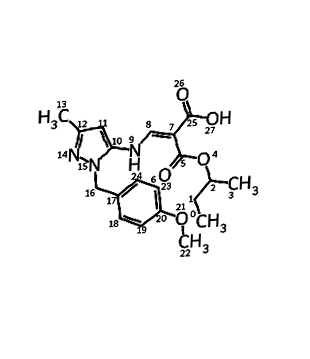 CCC(C)OC(=O)C(=CNc1cc(C)nn1Cc1ccc(OC)cc1)C(=O)O